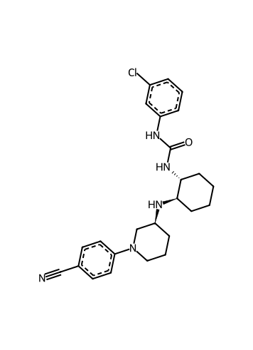 N#Cc1ccc(N2CCC[C@H](N[C@@H]3CCCC[C@H]3NC(=O)Nc3cccc(Cl)c3)C2)cc1